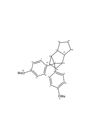 COc1ccc(C2(c3ccc(OC)cc3)C3CCC2C2CCCC23)cc1